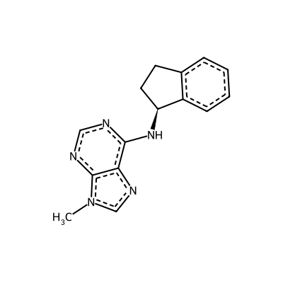 Cn1cnc2c(N[C@H]3CCc4ccccc43)ncnc21